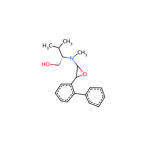 CC(C)[C@@H](CO)N(C)C1OC1c1ccccc1-c1ccccc1